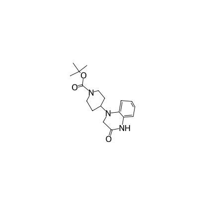 CC(C)(C)OC(=O)N1CCC(N2CC(=O)Nc3ccccc32)CC1